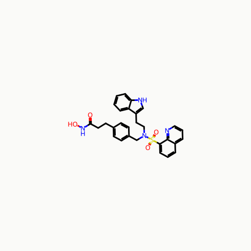 O=C(CCc1ccc(CN(CCc2c[nH]c3ccccc23)S(=O)(=O)c2cccc3cccnc23)cc1)NO